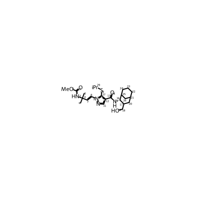 COC(=O)NC(C)(C)/C=C/n1ncc(C(=O)N[C@H]2C(CO)CC3CCCC2C3)c1SC(C)C